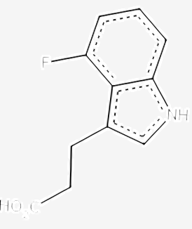 O=C(O)CCc1c[nH]c2cccc(F)c12